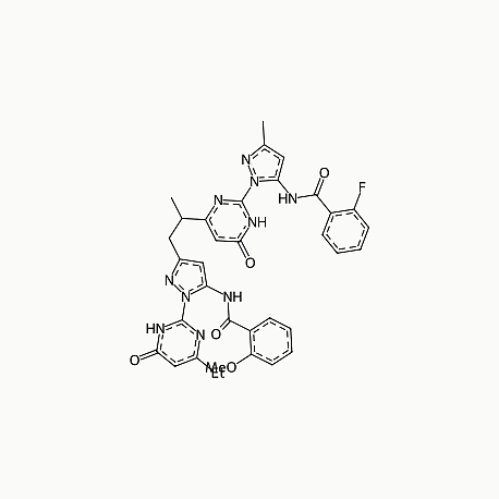 CCc1cc(=O)[nH]c(-n2nc(CC(C)c3cc(=O)[nH]c(-n4nc(C)cc4NC(=O)c4ccccc4F)n3)cc2NC(=O)c2ccccc2OC)n1